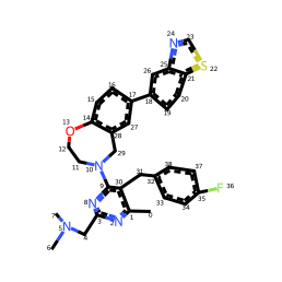 Cc1nc(CN(C)C)nc(N2CCOc3ccc(-c4ccc5scnc5c4)cc3C2)c1Cc1ccc(F)cc1